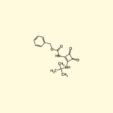 CC(C)(C)Nc1c(NC(=O)OCc2ccccc2)c(=O)c1=O